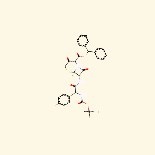 CC(C)(C)OC(=O)NC(C(=O)N[C@@H]1C(=O)N2C(C(=O)OC(c3ccccc3)c3ccccc3)C(=O)CS[C@@H]12)c1ccc(O)cc1